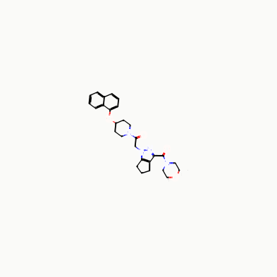 C[C@@H]1CN(C(=O)c2nn(CC(=O)N3CCC(Oc4cccc5ccccc45)CC3)c3c2CCC3)C[C@H](C)O1